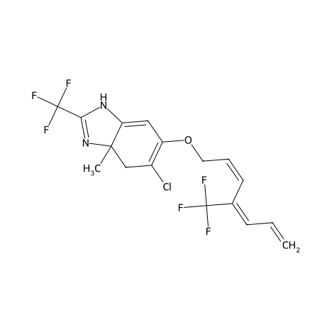 C=C/C=C(\C=C/COC1=C(Cl)CC2(C)N=C(C(F)(F)F)NC2=C1)C(F)(F)F